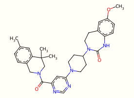 COc1ccc2c(c1)CCN(C1CCN(c3cc(C(=O)N4Cc5ccc(C)cc5C(C)(C)C4)ncn3)CC1)C(=O)N2